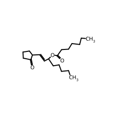 CCCCCCC(=O)OC(C=CC1CCCC1=O)CCCCC